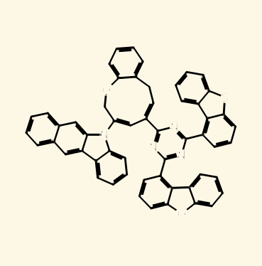 C1=C(c2nc(-c3cccc4oc5ccccc5c34)nc(-c3cccc4sc5ccccc5c34)n2)\C=C(\n2c3ccccc3c3cc4ccccc4cc32)COc2ccccc2C/1